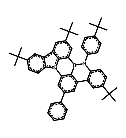 CC(C)(C)c1ccc(N2B3c4c(cc(-c5ccccc5)cc4-n4c5ccc(C(C)(C)C)cc5c5cc(C(C)(C)C)cc3c54)-c3cc(C(C)(C)C)ccc32)cc1